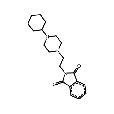 O=C1c2ccccc2C(=O)N1CCN1CCN(C2CCCCC2)CC1